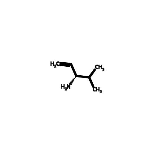 C=C[C@@H](N)C(C)C